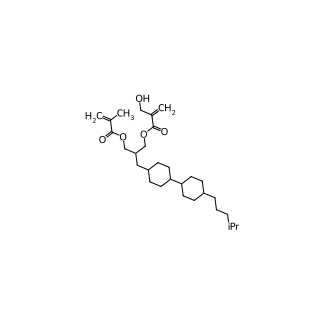 C=C(C)C(=O)OCC(COC(=O)C(=C)CO)CC1CCC(C2CCC(CCCC(C)C)CC2)CC1